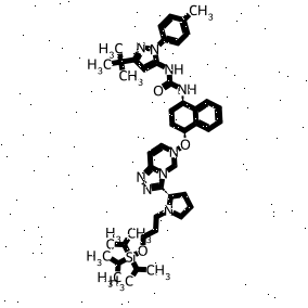 Cc1ccc(-n2nc(C(C)(C)C)cc2NC(=O)N[C@H]2CC[C@@H](ON3C=Cc4nnc([C@@H]5CCCN5CCCO[Si](C(C)C)(C(C)C)C(C)C)n4C3)c3ccccc32)cc1